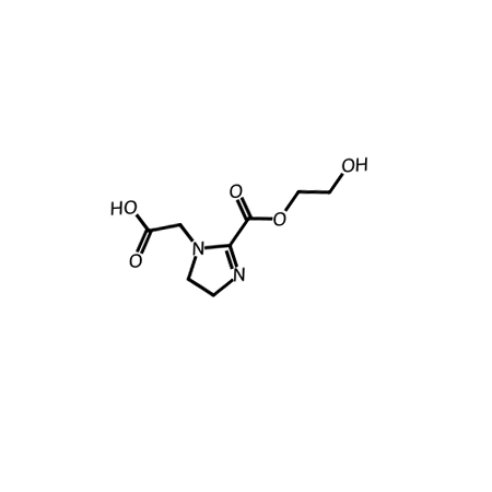 O=C(O)CN1CCN=C1C(=O)OCCO